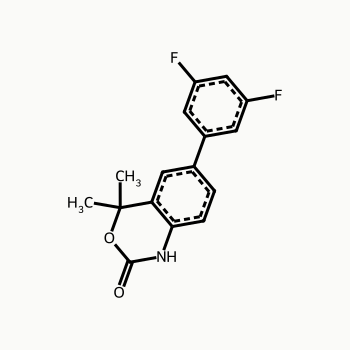 CC1(C)OC(=O)Nc2ccc(-c3cc(F)cc(F)c3)cc21